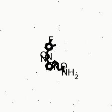 Cc1cc(-c2nc(-c3cccc4c3ccn4CC(N)=O)no2)ccc1F